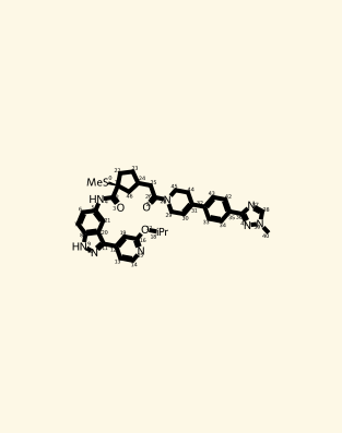 CS[C@@]1(C(=O)Nc2ccc3[nH]nc(-c4ccnc(OC(C)C)c4)c3c2)CCC(CC(=O)N2CC=C(c3ccc(-c4ncn(C)n4)cc3)CC2)C1